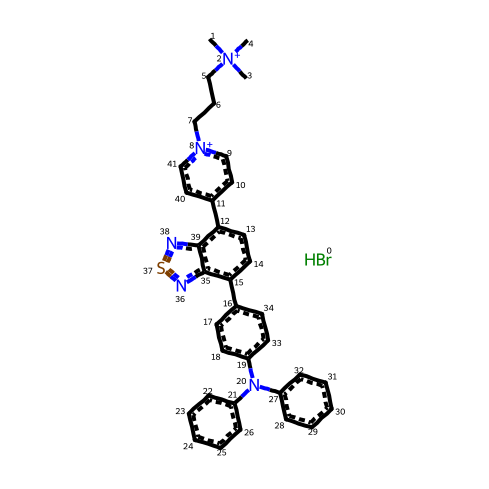 Br.C[N+](C)(C)CCC[n+]1ccc(-c2ccc(-c3ccc(N(c4ccccc4)c4ccccc4)cc3)c3nsnc23)cc1